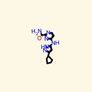 NC(=O)c1nccc(Nc2cc(C3CCCC3)n[nH]2)n1